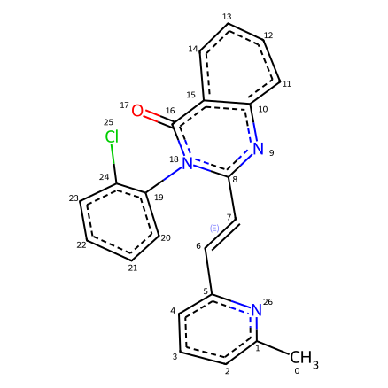 Cc1cccc(/C=C/c2nc3ccccc3c(=O)n2-c2ccccc2Cl)n1